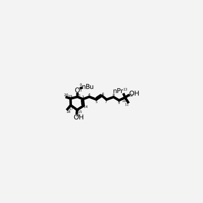 CCCCOC1C(C/C=C/CCCC(C)(O)CCC)=CC(O)C(C)C1C